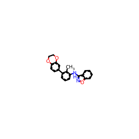 Cc1c(Nc2noc3ccccc23)cccc1-c1ccc2c(c1)OCCO2